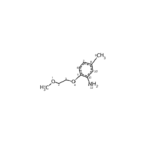 COCCOc1ccc(C)cc1N